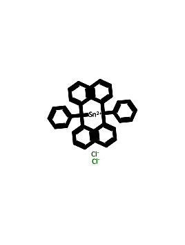 [Cl-].[Cl-].c1ccc([C]([Sn+2][C](c2ccccc2)(c2ccccc2)c2ccccc2)(c2ccccc2)c2ccccc2)cc1